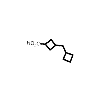 O=C(O)C1CC(CC2CCC2)C1